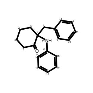 O=C1CCCCC1(Cc1ccccc1)Nc1ccccc1